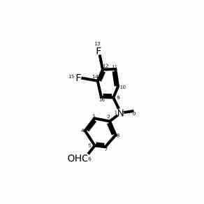 CN(c1ccc(C=O)cc1)c1ccc(F)c(F)c1